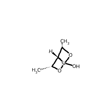 C[C@@H]1O[Si]2(O)O[C@H](C)[C@H]12